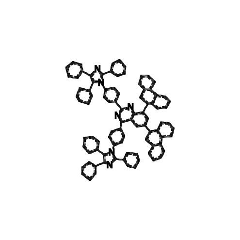 c1ccc(-c2nc(-c3ccccc3)n(-c3ccc(-c4nc(-c5ccc(-n6c(-c7ccccc7)nc(-c7ccccc7)c6-c6ccccc6)cc5)c5cc(-c6cc7ccccc7c7ccccc67)cc(-c6cc7ccccc7c7ccccc67)c5n4)cc3)c2-c2ccccc2)cc1